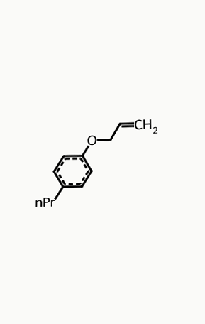 C=CCOc1ccc(CCC)cc1